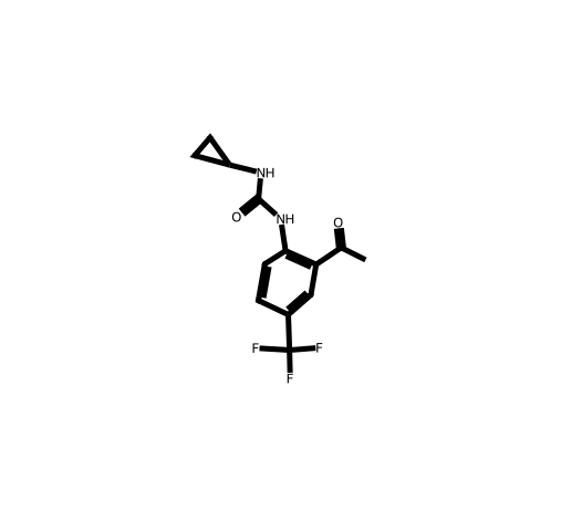 CC(=O)c1cc(C(F)(F)F)ccc1NC(=O)NC1CC1